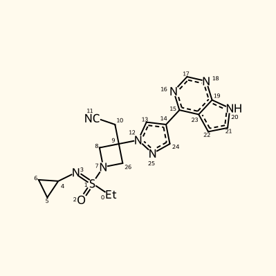 CCS(=O)(=NC1CC1)N1CC(CC#N)(n2cc(-c3ncnc4[nH]ccc34)cn2)C1